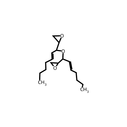 CCCCC=CC(OC(C=CCCCC)C1CO1)C1CO1